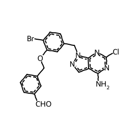 Nc1nc(Cl)nc2c1cnn2Cc1ccc(Br)c(OCc2cccc(C=O)c2)c1